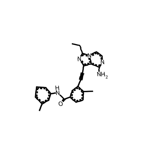 CCc1nc(C#Cc2cc(C(=O)Nc3cccc(C)c3)ccc2C)c2c(N)nccn12